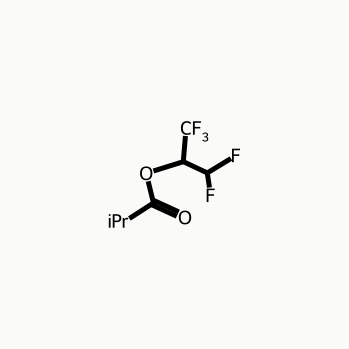 CC(C)C(=O)OC(C(F)F)C(F)(F)F